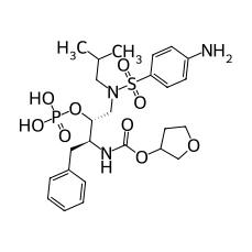 CC(C)CN(C[C@@H](OP(=O)(O)O)[C@H](Cc1ccccc1)NC(=O)OC1CCOC1)S(=O)(=O)c1ccc(N)cc1